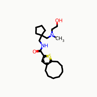 CN(CCO)CC1(CNC(=O)c2cc3c(s2)CCCCCCC3)CCCC1